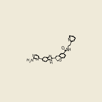 Nc1nccc(-c2ccc3[nH]c(C4COc5ccc(C(=O)NCCc6ccccn6)cc5C4)nc3c2)n1